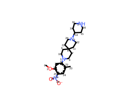 COc1cc(N2CCC3(CC2)CCN(C2CCNCC2)CC3)c(C)cc1[N+](=O)[O-]